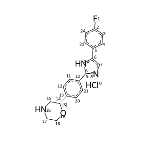 Cl.Fc1ccc(-c2cnc(-c3ccc([C@H]4CNCCO4)cc3)[nH]2)cc1